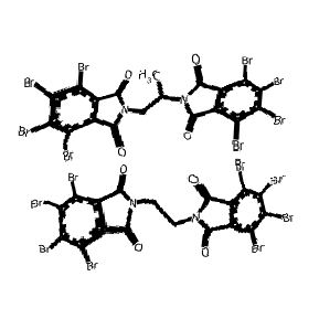 CC(CN1C(=O)c2c(Br)c(Br)c(Br)c(Br)c2C1=O)N1C(=O)c2c(Br)c(Br)c(Br)c(Br)c2C1=O.O=C1c2c(Br)c(Br)c(Br)c(Br)c2C(=O)N1CCN1C(=O)c2c(Br)c(Br)c(Br)c(Br)c2C1=O